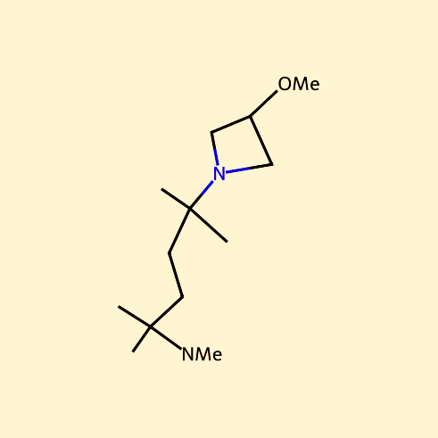 CNC(C)(C)CCC(C)(C)N1CC(OC)C1